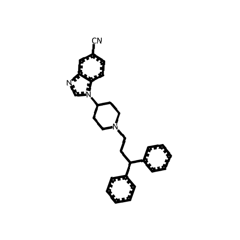 N#Cc1ccc2c(c1)ncn2C1CCN(CCC(c2ccccc2)c2ccccc2)CC1